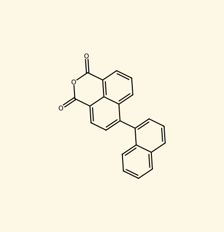 O=C1OC(=O)c2ccc(-c3cccc4ccccc34)c3cccc1c23